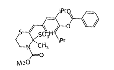 COC(=O)N1CCSC(=Cc2cc(C(C)C)c(OC(=O)c3ccccc3)c(C(C)C)c2)C1(C)S(=O)(=O)O